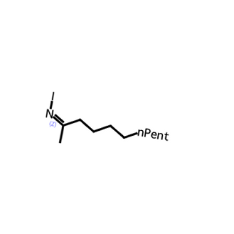 CCCCCCCCC/C(C)=N\I